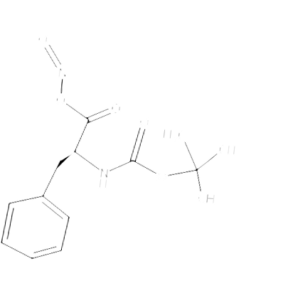 CC(C)(C)OC(=O)N[C@@H](Cc1ccccc1)C(=O)ON=O